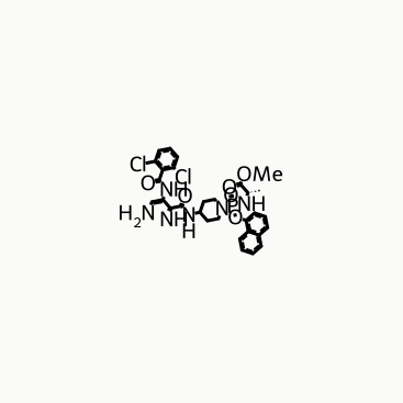 COC(=O)[C@H](C)NP(=O)(Oc1cccc2ccccc12)N1CCC(NC(=O)C(=N)/C(=C\N)NC(=O)c2c(Cl)cccc2Cl)CC1